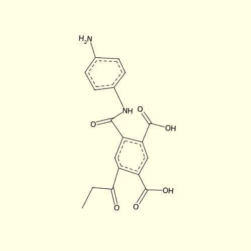 CCC(=O)c1cc(C(=O)Nc2ccc(N)cc2)c(C(=O)O)cc1C(=O)O